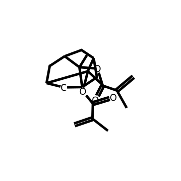 C=C(C)C(=O)OC1(C)C2CC3CC1CC(C2)C3(C)OC(=O)C(=C)C